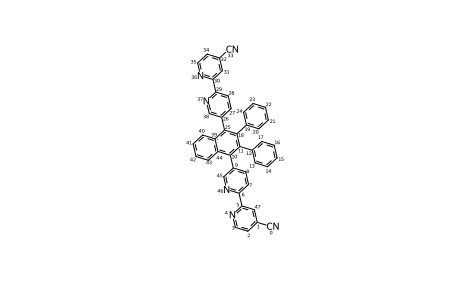 N#Cc1ccnc(-c2ccc(-c3c(-c4ccccc4)c(-c4ccccc4)c(-c4ccc(-c5cc(C#N)ccn5)nc4)c4ccccc34)cn2)c1